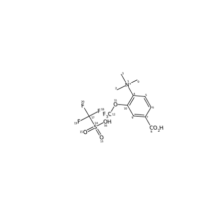 C[N+](C)(C)c1ccc(C(=O)O)cc1OC(F)(F)F.O=S(=O)(O)C(F)(F)F